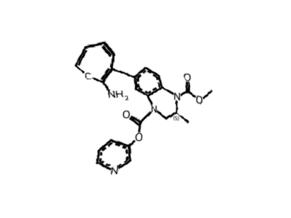 COC(=O)N1c2ccc(C3=C(N)CC=CC=C3)cc2N(C(=O)Oc2cccnc2)C[C@@H]1C